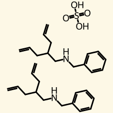 C=CCC(CC=C)CNCc1ccccc1.C=CCC(CC=C)CNCc1ccccc1.O=S(=O)(O)O